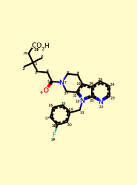 CC(C)(CCC(=O)N1CCc2c(n(Cc3cccc(F)c3)c3ncccc23)C1)CC(=O)O